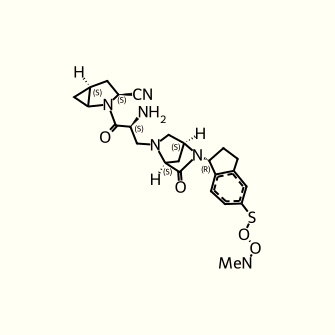 CNOOSc1ccc2c(c1)CC[C@H]2N1C(=O)[C@@H]2C[C@H]1CN2C[C@H](N)C(=O)N1C2C[C@H]2C[C@H]1C#N